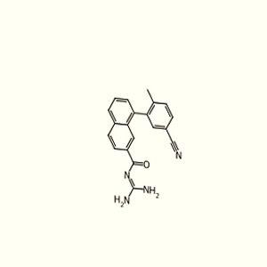 Cc1ccc(C#N)cc1-c1cccc2ccc(C(=O)N=C(N)N)cc12